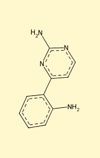 Nc1nccc(-c2ccccc2N)n1